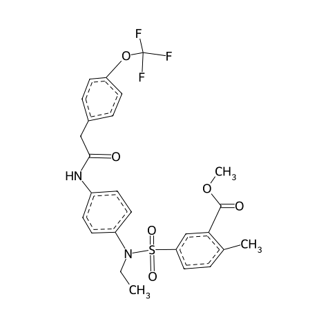 CCN(c1ccc(NC(=O)Cc2ccc(OC(F)(F)F)cc2)cc1)S(=O)(=O)c1ccc(C)c(C(=O)OC)c1